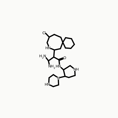 NC(N)C(C(=O)NC1CNCCC1N1CCNCC1)C1CC2(CCCCC2)CCC(Cl)CN1